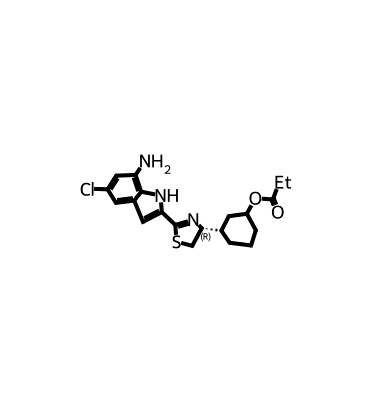 CCC(=O)OC1CCCC([C@@H]2CSC(c3cc4cc(Cl)cc(N)c4[nH]3)=N2)C1